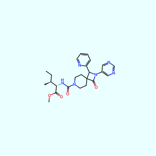 CC[C@H](C)[C@H](NC(=O)N1CCC2(CC1)C(=O)N(c1cncnc1)C2c1ccccn1)C(=O)OC